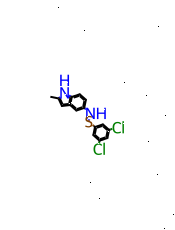 Cc1cc2cc(NSc3cc(Cl)cc(Cl)c3)ccc2[nH]1